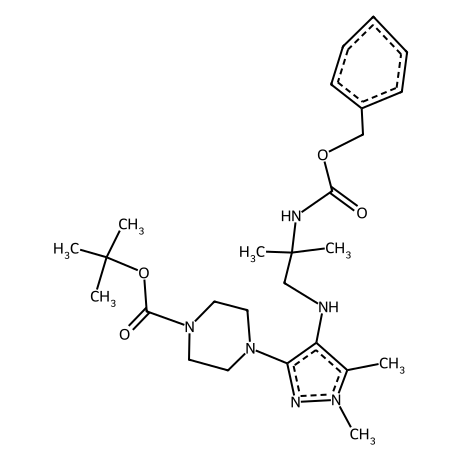 Cc1c(NCC(C)(C)NC(=O)OCc2ccccc2)c(N2CCN(C(=O)OC(C)(C)C)CC2)nn1C